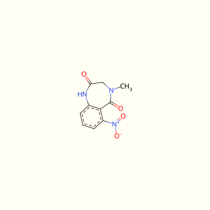 CN1CC(=O)Nc2cccc([N+](=O)[O-])c2C1=O